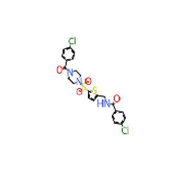 O=C(NCc1ccc(S(=O)(=O)N2CCN(C(=O)c3ccc(Cl)cc3)CC2)s1)c1ccc(Cl)cc1